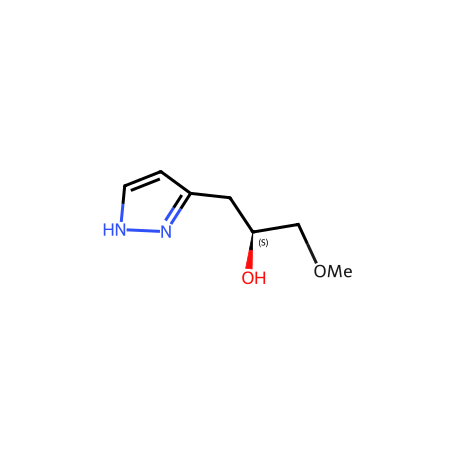 COC[C@@H](O)Cc1cc[nH]n1